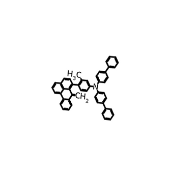 C=c1c2ccccc2c2cccc3ccc(-c4ccc(N(c5ccc(-c6ccccc6)cc5)c5ccc(-c6ccccc6)cc5)cc4C)c1c32